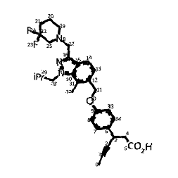 CC#CC(CC(=O)O)c1ccc(OCc2ccc3c(CN4CCCC(F)(F)C4)nn(CC(C)C)c3c2C)cc1